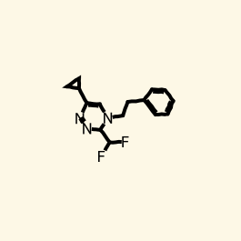 FC(F)C1N=NC(C2CC2)=CN1CCc1ccccc1